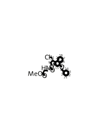 COC(=O)CCNC(=O)N1C[C@@H](CCl)c2c1cc(OCc1ccccc1)c1ccccc21